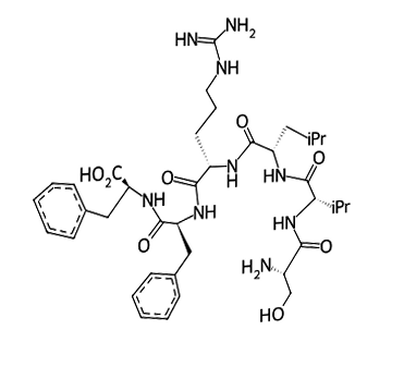 CC(C)C[C@H](NC(=O)[C@@H](NC(=O)[C@@H](N)CO)C(C)C)C(=O)N[C@@H](CCCNC(=N)N)C(=O)N[C@@H](Cc1ccccc1)C(=O)N[C@@H](Cc1ccccc1)C(=O)O